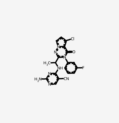 CC(Nc1nc(N)ncc1C#N)c1nn2ccc(Cl)c2c(=O)n1-c1cccc(F)c1